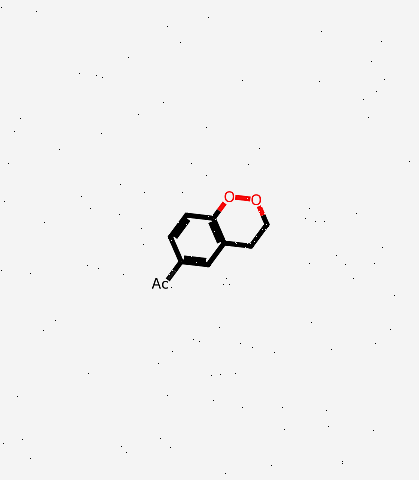 CC(=O)c1ccc2c(c1)CCOO2